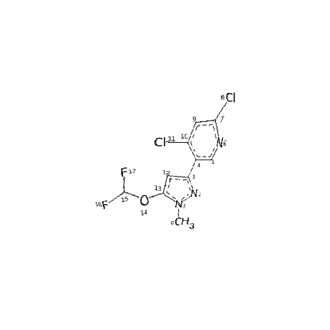 Cn1nc(-c2cnc(Cl)cc2Cl)cc1OC(F)F